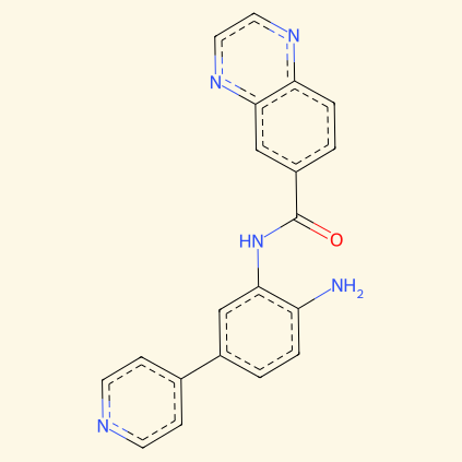 Nc1ccc(-c2ccncc2)cc1NC(=O)c1ccc2nccnc2c1